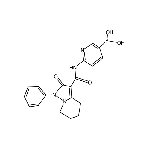 O=C(Nc1ccc(B(O)O)cn1)c1c2n(n(-c3ccccc3)c1=O)CCCC2